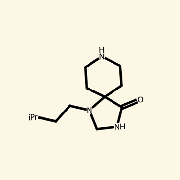 CC(C)CCN1CNC(=O)C12CCNCC2